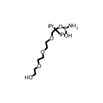 CC(C)C(COCCOCCOCCO)(OP(N)O)C(C)C